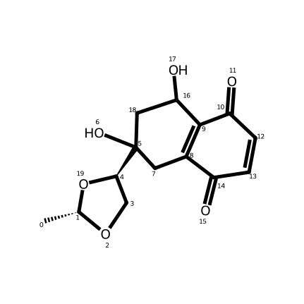 C[C@H]1OC[C@H](C2(O)CC3=C(C(=O)C=CC3=O)C(O)C2)O1